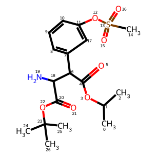 CC(C)OC(=O)C(c1cccc(OS(C)(=O)=O)c1)C(N)C(=O)OC(C)(C)C